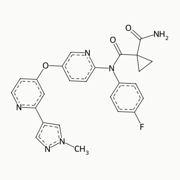 Cn1cc(-c2cc(Oc3ccc(N(C(=O)C4(C(N)=O)CC4)c4ccc(F)cc4)nc3)ccn2)cn1